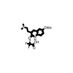 COc1ccc2[nH]c(=O)c(CCN(C)C)cc2c1.O=C(O)C(F)(F)F